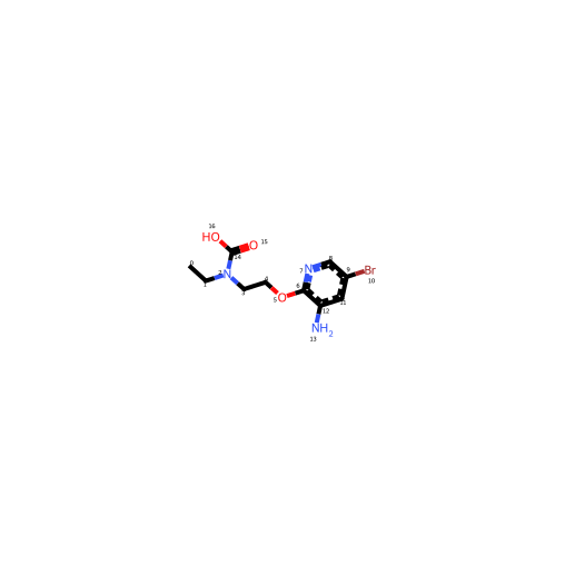 CCN(CCOc1ncc(Br)cc1N)C(=O)O